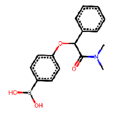 CN(C)C(=O)C(Oc1ccc(B(O)O)cc1)c1ccccc1